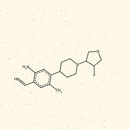 Cc1cc(C=N)c(N)cc1C1CCN(C2COCC2F)CC1